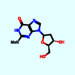 CNc1nc2c(ncn2C2C[C@H](O)[C@@H](CO)O2)c(=O)[nH]1